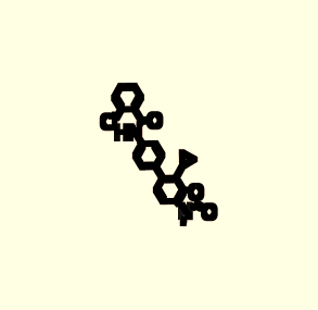 Cn1c(=O)oc2c(C3CC3)c(-c3ccc(NC(=O)c4ccccc4Cl)cc3)ccc21